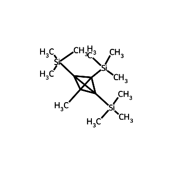 CC12C3([Si](C)(C)C)C1([Si](C)(C)C)C23[Si](C)(C)C